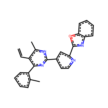 C=Cc1c(C)nc(-c2ccnc(-c3nc4ccccc4o3)c2)nc1-c1ccccc1C